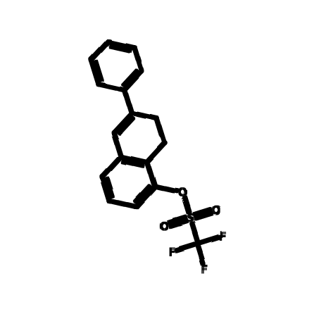 O=S(=O)(Oc1cccc2c1CCC(c1ccccc1)=C2)C(F)(F)F